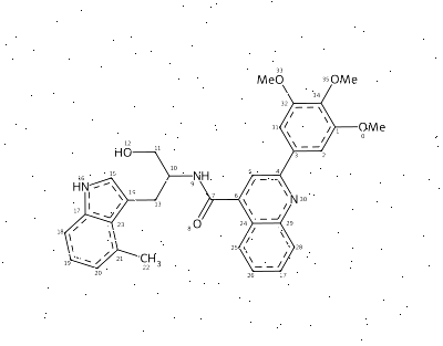 COc1cc(-c2cc(C(=O)NC(CO)Cc3c[nH]c4cccc(C)c34)c3ccccc3n2)cc(OC)c1OC